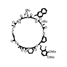 CCCC[C@H]1C(=O)N[C@@H](Cc2ccc3ccccc3c2)C(=O)N(C)[C@@H](COC(C)(C)C)C(=O)NCC(=O)N(C)CC/C=C/C(=O)OCC(C)(C)C(=O)C(=O)N2CCCC[C@H]2C(=O)O[C@H](CCc2ccc(OC)c(OC)c2F)c2cccc(c2)OCC(=O)N1C